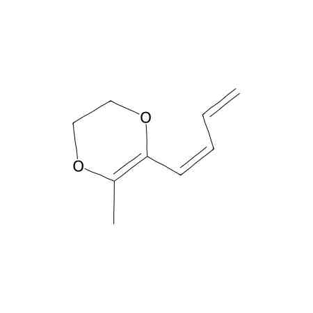 C=C/C=C\C1=C(C)OCCO1